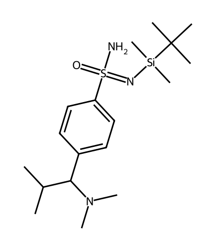 CC(C)C(c1ccc(S(N)(=O)=N[Si](C)(C)C(C)(C)C)cc1)N(C)C